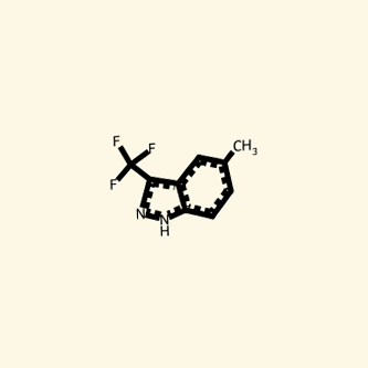 Cc1ccc2[nH]nc(C(F)(F)F)c2c1